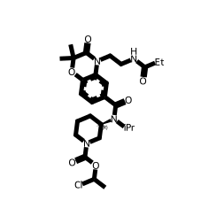 CCC(=O)NCCN1C(=O)C(C)(C)Oc2ccc(C(=O)N(C(C)C)[C@@H]3CCCN(C(=O)OC(C)Cl)C3)cc21